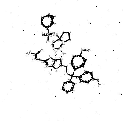 COc1ccc(C(OC[C@H]2O[C@H]3N=C(NC(C)=O)O[C@H]3[C@@H]2O[P@]2O[C@H](CS(=O)(=O)c3ccccc3)[C@@H]3CCCN32)(c2ccccc2)c2ccc(OC)cc2)cc1